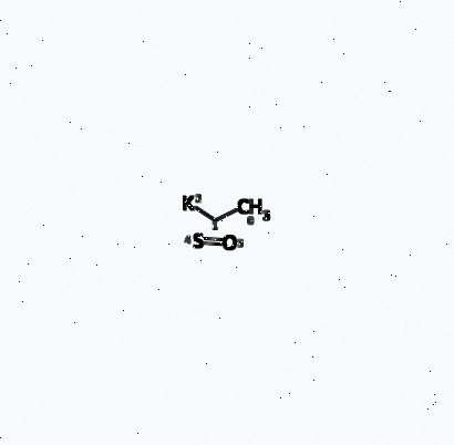 C[CH2][K].O=S